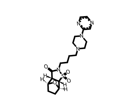 O=C1[C@@H]2[C@@H]([C@H]3CC[C@@H]2O3)S(=O)(=O)N1CCCCN1CCN(c2cnccn2)CC1